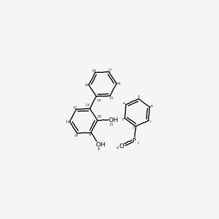 O=Pc1ccccc1.Oc1cccc(-c2ccccc2)c1O